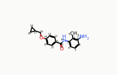 Cc1c(N)cccc1NC(=O)c1ccc(OCC2CC2)cc1